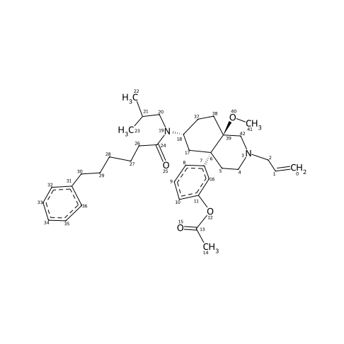 C=CCN1CC[C@@]2(c3cccc(OC(C)=O)c3)C[C@H](N(CC(C)C)C(=O)CCCCCc3ccccc3)CC[C@]2(OC)C1